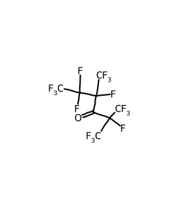 O=C(C(F)(C(F)(F)F)C(F)(F)F)C(F)(C(F)(F)F)C(F)(F)C(F)(F)F